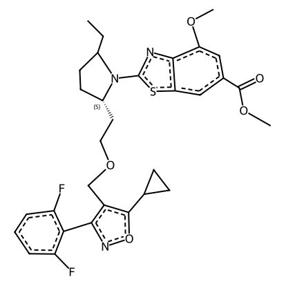 CCC1CC[C@@H](CCOCc2c(-c3c(F)cccc3F)noc2C2CC2)N1c1nc2c(OC)cc(C(=O)OC)cc2s1